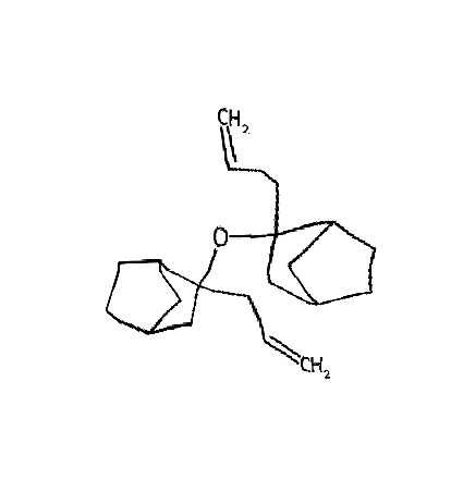 C=CCC1(OC2(CC=C)CC3CCC2C3)CC2CCC1C2